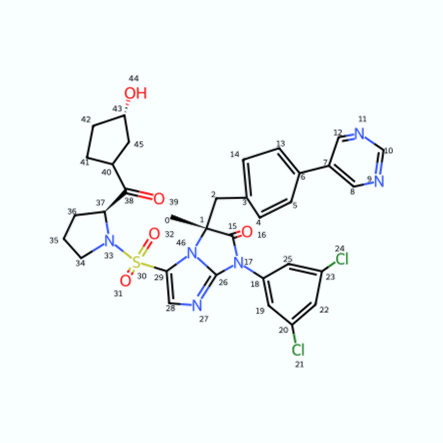 C[C@@]1(Cc2ccc(-c3cncnc3)cc2)C(=O)N(c2cc(Cl)cc(Cl)c2)c2ncc(S(=O)(=O)N3CCC[C@H]3C(=O)C3CC[C@H](O)C3)n21